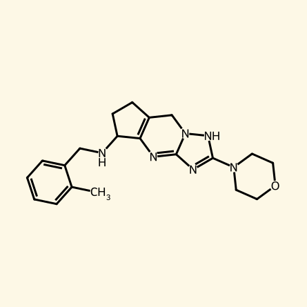 Cc1ccccc1CNC1CCC2=C1N=C1N=C(N3CCOCC3)NN1C2